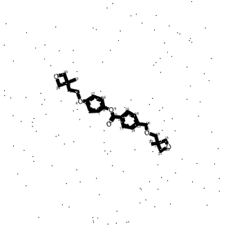 CC1(CCOc2ccc(OC(=O)c3ccc(COCC4(C)COC4)cc3)cc2)COC1